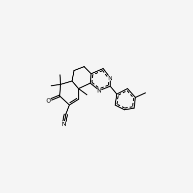 Cc1cccc(-c2ncc3c(n2)C2(C)C=C(C#N)C(=O)C(C)(C)C2CC3)c1